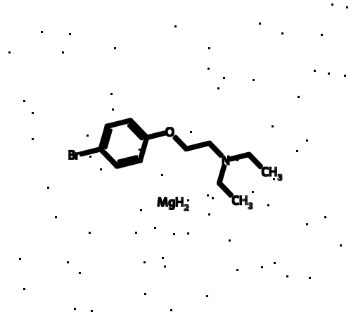 CCN(CC)CCOc1ccc(Br)cc1.[MgH2]